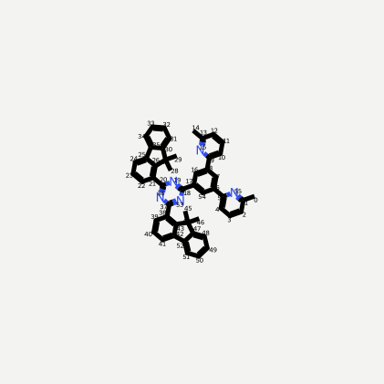 Cc1cccc(-c2cc(-c3cccc(C)n3)cc(-c3nc(-c4cccc5c4C(C)(C)c4ccccc4-5)nc(-c4cccc5c4C(C)(C)c4ccccc4-5)n3)c2)n1